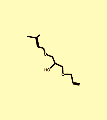 C=CCOCC(O)COCC=C(C)C